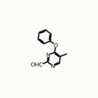 Cc1cnc(C=O)nc1Oc1ccccc1